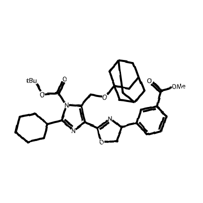 COC(=O)c1cccc(C2COC(c3nc(C4CCCCC4)n(C(=O)OC(C)(C)C)c3COC34CC5CC(CC(C5)C3)C4)=N2)c1